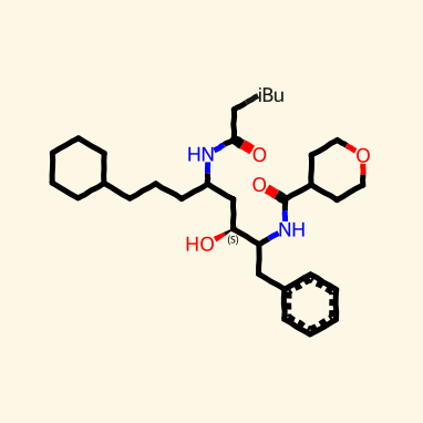 CCC(C)CC(=O)NC(CCCC1CCCCC1)C[C@H](O)C(Cc1ccccc1)NC(=O)C1CCOCC1